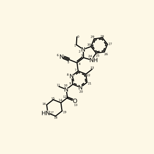 CCN1/C(=C(\C#N)c2nc(N(C)C(=O)C3CCNCC3)ncc2C)Nc2ccccc21